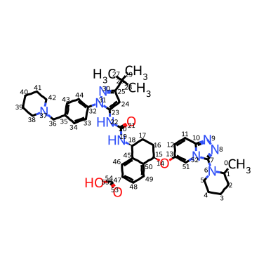 CC1CCCCN1c1nnc2ccc(O[C@@H]3CC[C@H](NC(=O)Nc4cc(C(C)(C)C)nn4-c4ccc(CN5CCCCC5)cc4)c4ccccc43)cn12.O=CO